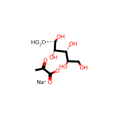 CC(=O)C(=O)[O-].O=C(O)[C@H](O)[C@@H](O)[C@H](O)[C@H](O)CO.[Na+]